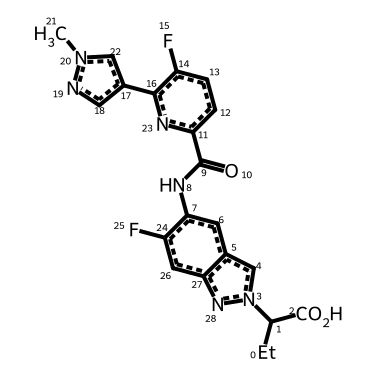 CCC(C(=O)O)n1cc2cc(NC(=O)c3ccc(F)c(-c4cnn(C)c4)n3)c(F)cc2n1